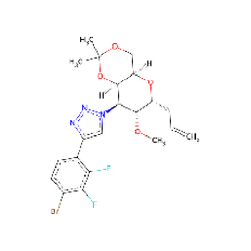 C=CC[C@H]1O[C@@H]2COC(C)(C)O[C@@H]2[C@H](n2cc(-c3ccc(Br)c(F)c3F)nn2)[C@H]1OC